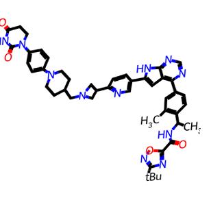 Cc1cc(-c2ncnc3[nH]c(-c4ccc(C5CN(CC6CCN(c7ccc(N8CCC(=O)NC8=O)cc7)CC6)C5)nc4)cc23)ccc1C(C)NC(=O)c1nc(C(C)(C)C)no1